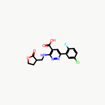 O=C(O)c1cc(-c2cc(Cl)ccc2F)nnc1NCC1CCOC1=O